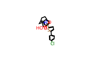 O=C(O)C12CC1(c1ccccc1)CCCN2S(=O)(=O)c1ccc(-c2ccc(Cl)cc2)s1